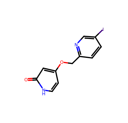 O=c1cc(OCc2ccc(I)cn2)cc[nH]1